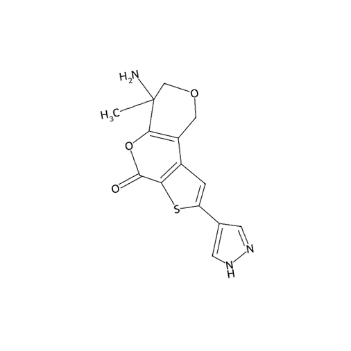 CC1(N)COCc2c1oc(=O)c1sc(-c3cn[nH]c3)cc21